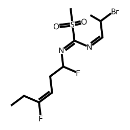 CC/C(F)=C\CC(F)/N=C(\N=C/C(C)Br)S(C)(=O)=O